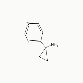 NC1(c2ccncc2)CC1